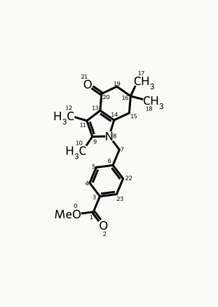 COC(=O)c1ccc(Cn2c(C)c(C)c3c2CC(C)(C)CC3=O)cc1